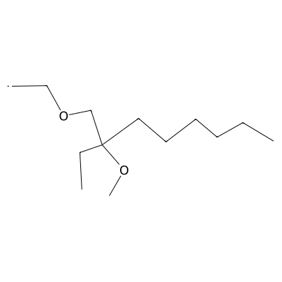 [CH2]COCC(CC)(CCCCCC)OC